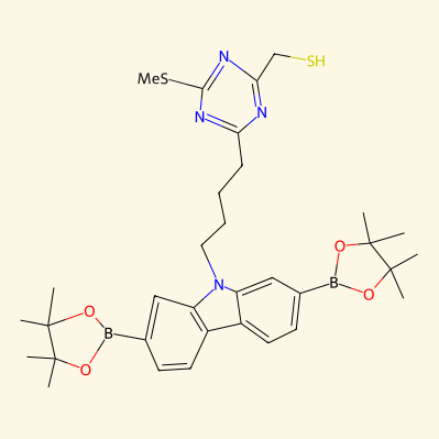 CSc1nc(CS)nc(CCCCn2c3cc(B4OC(C)(C)C(C)(C)O4)ccc3c3ccc(B4OC(C)(C)C(C)(C)O4)cc32)n1